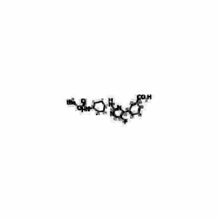 CC(C)(C)OC(=O)N[C@H]1CC[C@H](Nc2ncc(F)c(-c3cccc(C(=O)O)c3)n2)CC1